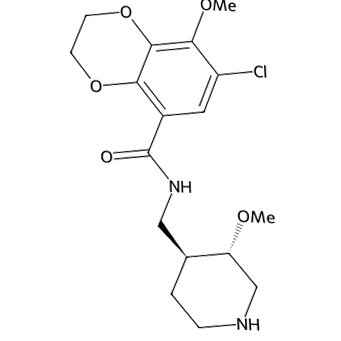 COc1c(Cl)cc(C(=O)NC[C@@H]2CCNC[C@H]2OC)c2c1OCCO2